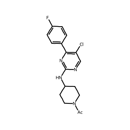 CC(=O)N1CCC(Nc2ncc(Cl)c(-c3ccc(F)cc3)n2)CC1